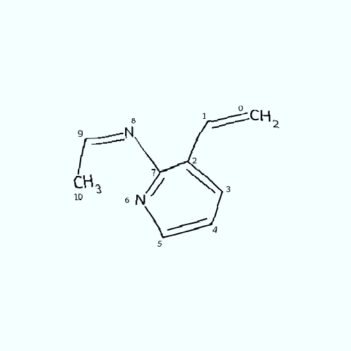 C=Cc1cccnc1/N=C\C